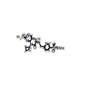 C=C(Cl)/N=C1\C(=C/C)N=C(NCc2ccc(S(=O)(=O)NC)cn2)C(=O)N1C1CCC1